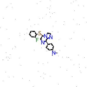 CN(C)c1ccc(-c2ncc(Sc3ccccc3F)n3ccnc23)cc1